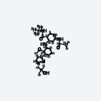 [2H]C([2H])([2H])NC(=O)c1cnc(NC(=O)C2CC2)cc1Nc1cccc(-c2ccn(CC(C)(C)O)n2)c1OC